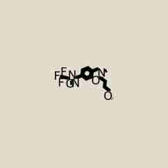 COCCCC(=O)N(C)Cc1ccc(-c2noc(C(F)(F)F)n2)cc1